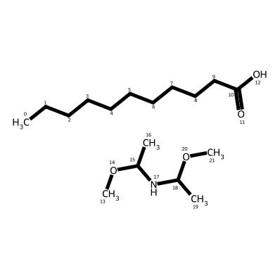 CCCCCCCCCCC(=O)O.COC(C)NC(C)OC